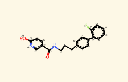 O=C(NCCCc1ccc(-c2ccccc2F)cc1)c1ccc(O)nc1